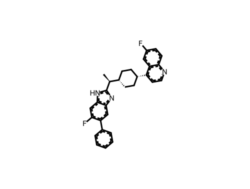 C[C@H](c1nc2cc(-c3ccccc3)c(F)cc2[nH]1)[C@H]1CC[C@@H](c2ccnc3ccc(F)cc32)CC1